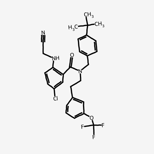 CC(C)(C)c1ccc(CN(CCc2cccc(OC(F)(F)F)c2)C(=O)c2cc(Cl)ccc2NCC#N)cc1